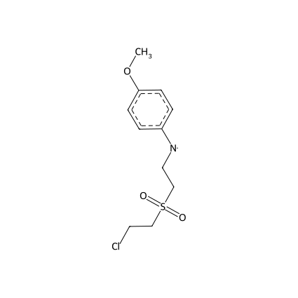 COc1ccc([N]CCS(=O)(=O)CCCl)cc1